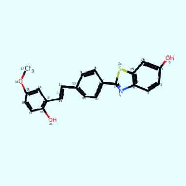 Oc1ccc2nc(-c3ccc(/C=C/c4cc(OC(F)(F)F)ccc4O)cc3)sc2c1